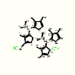 CC1=CC[C]([Hf]([C]2=C(C)C(C)=CC2)=[Si](C)C)=C1C.CC1=CC[C]([Hf]([C]2=C(C)C(C)=CC2)=[Si](C)C)=C1C.Cl.Cl